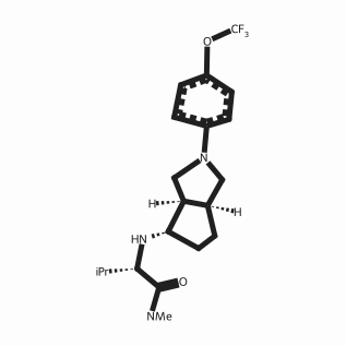 CNC(=O)[C@@H](N[C@H]1CC[C@@H]2CN(c3ccc(OC(F)(F)F)cc3)C[C@@H]21)C(C)C